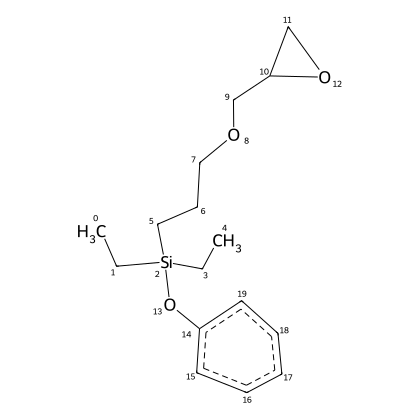 CC[Si](CC)(CCCOCC1CO1)Oc1ccccc1